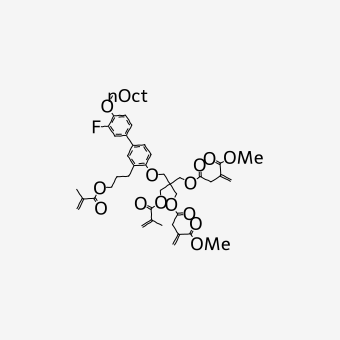 C=C(C)C(=O)OCCCc1cc(-c2ccc(OCCCCCCCC)c(F)c2)ccc1OCC(COC(=O)CC(=C)C(=O)OC)(COC(=O)CC(=C)C(=O)OC)COC(=O)C(=C)C